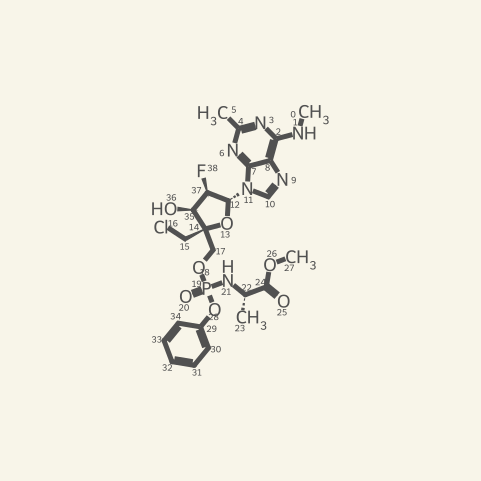 CNc1nc(C)nc2c1ncn2[C@@H]1O[C@](CCl)(COP(=O)(N[C@@H](C)C(=O)OC)Oc2ccccc2)[C@@H](O)[C@H]1F